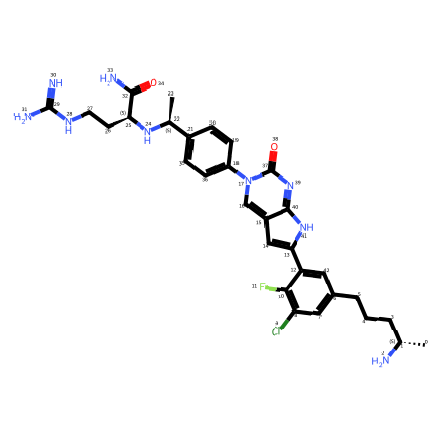 C[C@H](N)CCCc1cc(Cl)c(F)c(-c2cc3cn(-c4ccc([C@H](C)N[C@@H](CCNC(=N)N)C(N)=O)cc4)c(=O)nc3[nH]2)c1